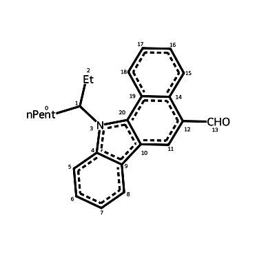 CCCCCC(CC)n1c2ccccc2c2cc(C=O)c3ccccc3c21